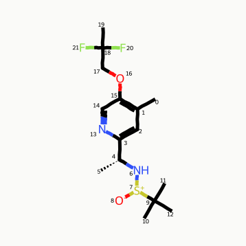 Cc1cc([C@@H](C)N[S+]([O-])C(C)(C)C)ncc1OCC(C)(F)F